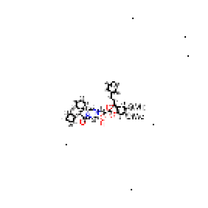 COc1cc(OCC(O)CN2CCN(C(=O)C(c3ccccc3)c3ccccc3)CC2)c(C(=O)CCc2ccccc2)cc1OC